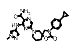 Cn1cc(Nc2nc(N3CCCC4(C3)CN(c3ccc(C5CC5)cc3)C(=O)O4)cnc2C(N)=O)cn1